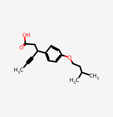 CC#CC(CC(=O)O)c1ccc(OCCC(C)C)cc1